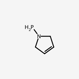 PN1CC=CC1